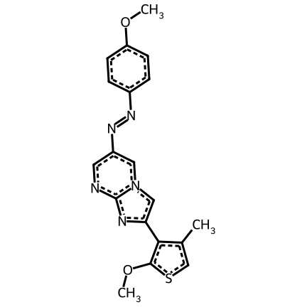 COc1ccc(N=Nc2cnc3nc(-c4c(C)csc4OC)cn3c2)cc1